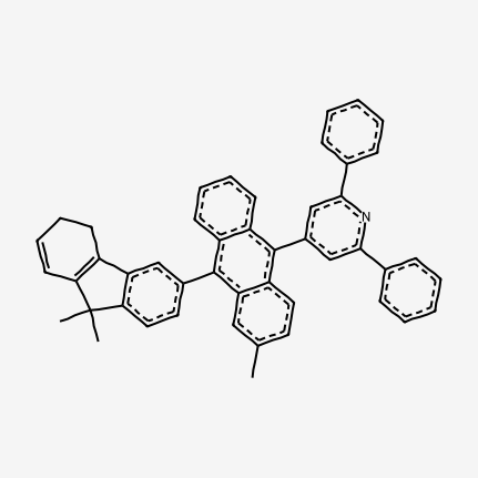 Cc1ccc2c(-c3cc(-c4ccccc4)nc(-c4ccccc4)c3)c3ccccc3c(-c3ccc4c(c3)C3=C(C=CCC3)C4(C)C)c2c1